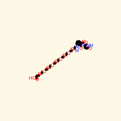 O=C(O)CCOCCOCCOCCOCCOCCOCCOCCOCCOCCNc1cccc2c1C(=O)N(C1CCC(=O)NC1=O)C2=O